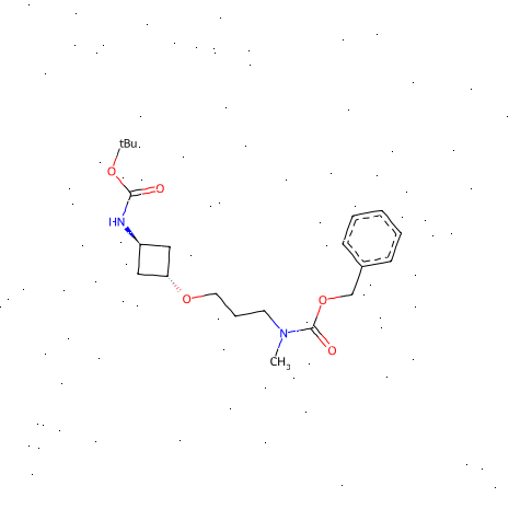 CN(CCCO[C@H]1C[C@H](NC(=O)OC(C)(C)C)C1)C(=O)OCc1ccccc1